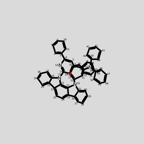 c1ccc(-c2cc(-c3ccccc3)nc(-n3c4ccccc4c4ccc5c6ccccc6n(-c6cccc(N(c7ccccc7)c7ccccc7)c6)c5c43)n2)cc1